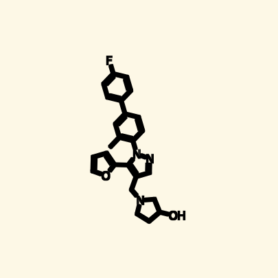 Cc1cc(-c2ccc(F)cc2)ccc1-n1ncc(CN2CCC(O)C2)c1-c1ccco1